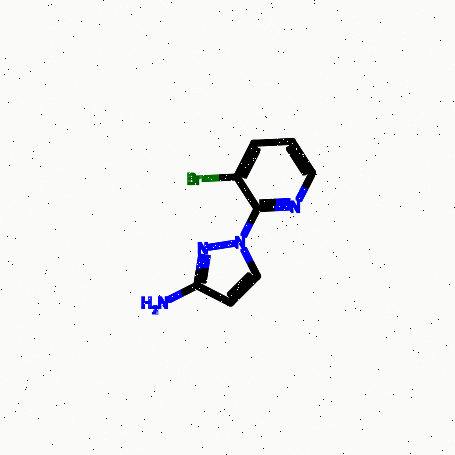 Nc1ccn(-c2ncccc2Br)n1